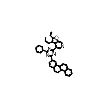 C=Cc1oc2cncc(-c3nc(-c4ccccc4)nc(-c4ccc5ccc6c7ccccc7ccc6c5c4)n3)c2c1/C=C\C